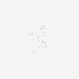 CC(C)CC(=O)Nc1ccc(C2(C(N)=O)C=CC=C(C(N)=O)C2)cn1